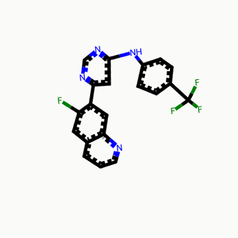 Fc1cc2cccnc2cc1-c1cc(Nc2ccc(C(F)(F)F)cc2)ncn1